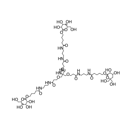 CC(C)(C)NC(COCCC(=O)NCCCNC(=O)CCCCO[C@H]1OC(CO)(CO)CC(O)C1O)(COCCC(=O)NCCCNC(=O)CCCCO[C@H]1OC(CO)[C@@H](O)C(O)C1O)COCCC(=O)NCCCNC(=O)CCCCO[C@H]1OC(CO)[C@@H](O)C(O)C1O